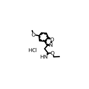 CCOC(=N)Cc1noc2ccc(OC)cc12.Cl